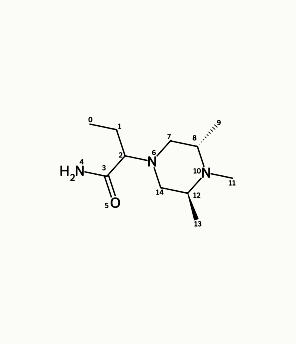 CCC(C(N)=O)N1C[C@H](C)N(C)[C@@H](C)C1